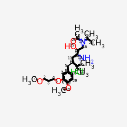 COCCCOc1cc(C[C@@H](C[C@H](N)[C@@H](O)CN(C(C)=O)C(C)C)C(C)C)ccc1OC.Cl